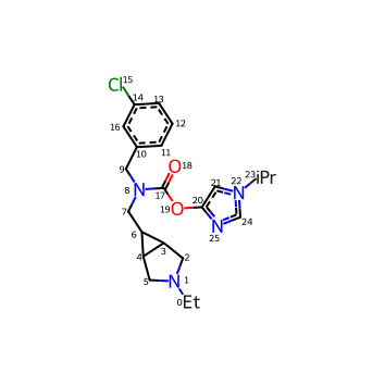 CCN1CC2C(C1)C2CN(Cc1cccc(Cl)c1)C(=O)Oc1cn(C(C)C)cn1